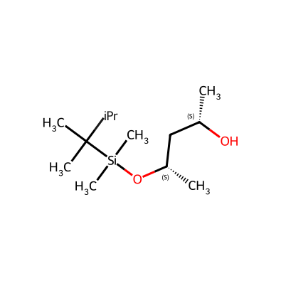 CC(C)C(C)(C)[Si](C)(C)O[C@@H](C)C[C@H](C)O